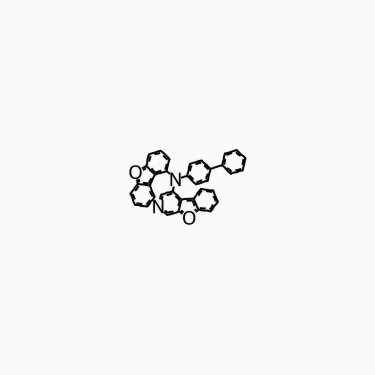 c1ccc(-c2ccc(N(c3cccc4oc5ccccc5c34)c3cncc4oc5ccccc5c34)cc2)cc1